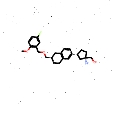 COc1ccc(F)cc1COC[C@@H]1CCc2cc([C@@H]3CC[C@](N)(CO)C3)ccc2C1